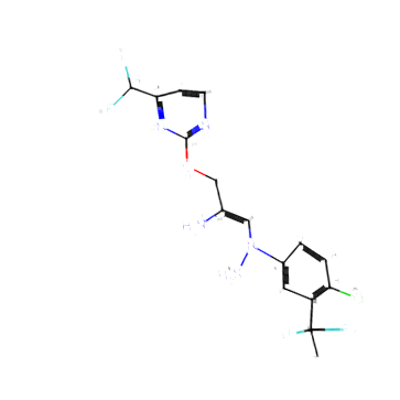 CC(F)(F)c1cc(N(N)/C=C(\N)COc2nccc(C(F)F)n2)ccc1Cl